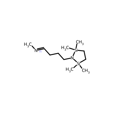 C/N=C/CCCN1[Si](C)(C)CC[Si]1(C)C